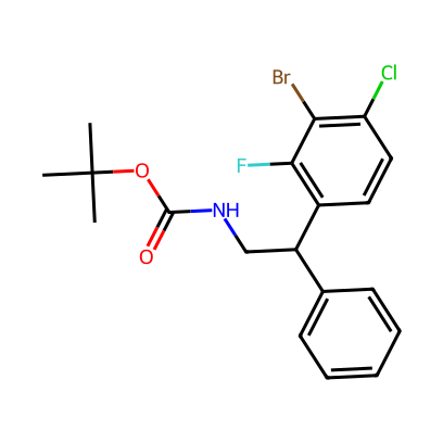 CC(C)(C)OC(=O)NCC(c1ccccc1)c1ccc(Cl)c(Br)c1F